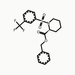 O=C(OCc1ccccc1)[C@@H]1CCCCN1S(=O)(=O)c1cccc(C(F)(F)F)c1